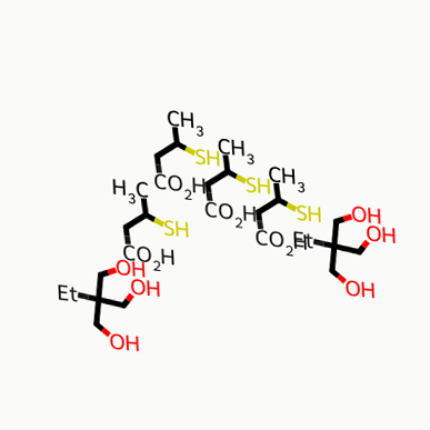 CC(S)CC(=O)O.CC(S)CC(=O)O.CC(S)CC(=O)O.CC(S)CC(=O)O.CCC(CO)(CO)CO.CCC(CO)(CO)CO